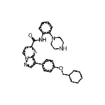 O=C(Nc1ccccc1N1CCNCC1)c1ccn2ncc(-c3ccc(OCC4CCCCC4)cc3)c2n1